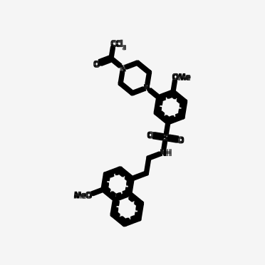 COc1ccc(S(=O)(=O)NCCc2ccc(OC)c3ccccc23)cc1N1CCN(C(=O)C(Cl)(Cl)Cl)CC1